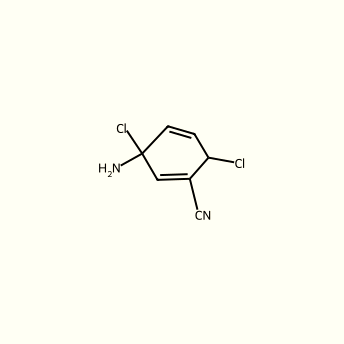 N#CC1=CC(N)(Cl)C=CC1Cl